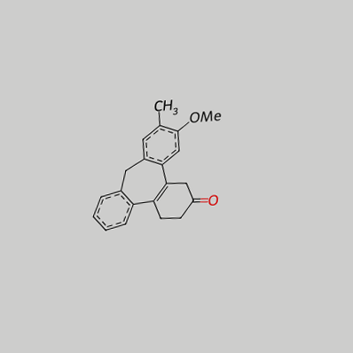 COc1cc2c(cc1C)Cc1ccccc1C1=C2CC(=O)CC1